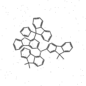 CC1(C)c2ccccc2-c2ccc(N(c3cc(C4(c5ccccc5)c5ccccc5-c5ccccc54)c4sc5ccccc5c4c3)c3cccc4c3-c3ccccc3C4(C)C)cc21